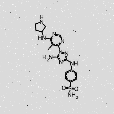 Cc1c(NC2CCNC2)ncnc1-n1nc(Nc2ccc(S(N)(=O)=O)cc2)nc1N